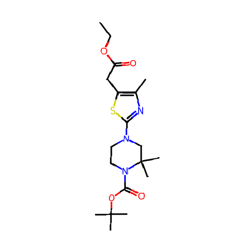 CCOC(=O)Cc1sc(N2CCN(C(=O)OC(C)(C)C)C(C)(C)C2)nc1C